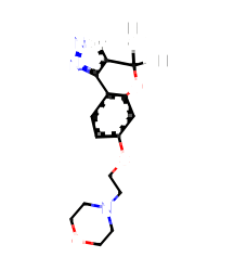 CC1(C)Oc2cc(OCCN3CCOCC3)ccc2-c2nn[se]c21